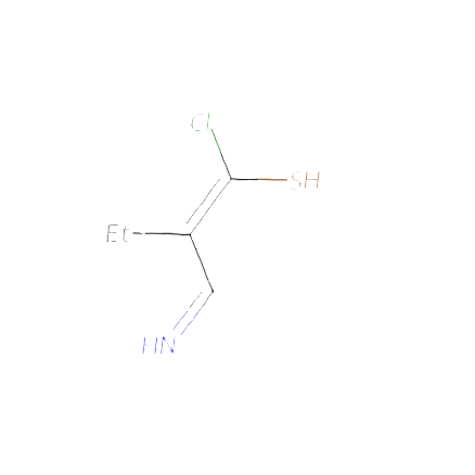 CC/C(C=N)=C(/S)Cl